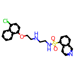 O=S(=O)(NCCNCCOc1ccc(Cl)c2ccccc12)c1cccc2cnccc12